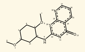 COC1CCC(OC)C(Nc2nc(=O)c3cccnc3s2)C1